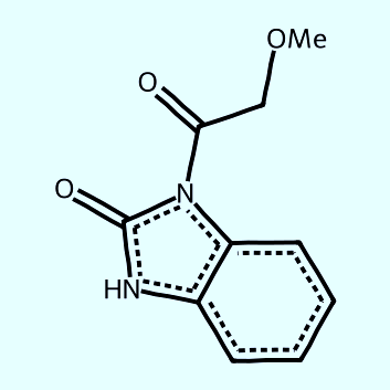 COCC(=O)n1c(=O)[nH]c2ccccc21